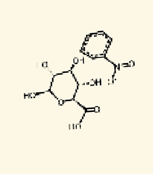 O=C(O)[C@H]1O[C@@H](O)[C@H](O)[C@@H](O)[C@@H]1O.O=[N+]([O-])c1ccccc1